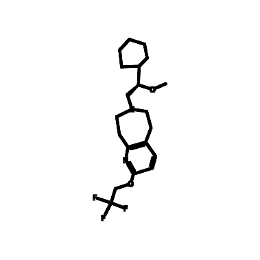 CO[C@@H](CN1CCc2ccc(OCC(F)(F)F)nc2CC1)C1CCCCC1